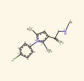 C=C(CNC(C)C)c1cc(C)n(-c2ccc(F)cc2)c1C